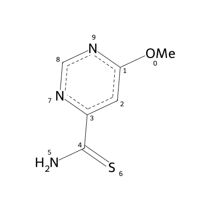 COc1cc(C(N)=S)ncn1